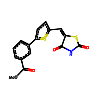 COC(=O)c1cccc(-c2ccc(C=C3SC(=O)NC3=O)s2)c1